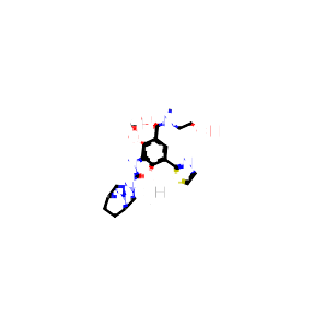 CN(CCO)C(=O)c1cc(-c2nccs2)c2oc(N3CC4CCC(C3)N4C(=O)O)nc2c1OC(F)(F)F